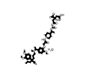 CCCC(C#N)(CCCN(C)C(C)c1ccc(OC)c(OCC(=O)NN2CCC(C(C)O[N+](=O)OC(=O)CC(O)(CC(=O)O)C(=O)[O-])CC2)c1)c1ccc(OC)c(OC)c1.O